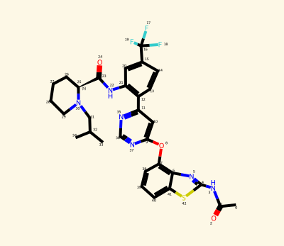 CC(=O)Nc1nc2c(Oc3cc(-c4ccc(C(F)(F)F)cc4NC(=O)[C@@H]4CCCCN4CC(C)C)ncn3)cccc2s1